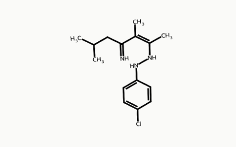 CC(NNc1ccc(Cl)cc1)=C(C)C(=N)CC(C)C